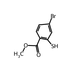 COC(=O)c1ccc(Br)cc1S